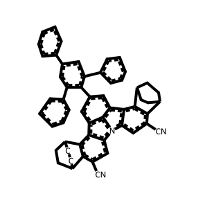 N#Cc1cc2c(c3c1C1CCC3CC1)c1cc(-c3c(-c4ccccc4)cc(-c4ccccc4)cc3-c3ccccc3)cc3c4c5c(c(C#N)cc4n2c13)C1CCC5CC1